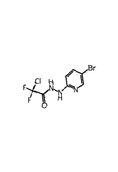 O=C(NNc1ccc(Br)cn1)C(F)(F)Cl